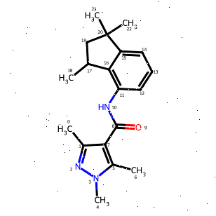 Cc1nn(C)c(C)c1C(=O)Nc1cccc2c1C(C)CC2(C)C